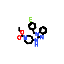 CCOC(=O)N1CCCC(Nc2nc3ccccc3n2Cc2ccc(F)cc2)CC1